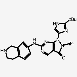 CC(C)n1c(=O)c2cnc(Nc3ccc4c(c3)CNCC4)nc2n1-c1c[nH]c(C(C)(C)C)n1